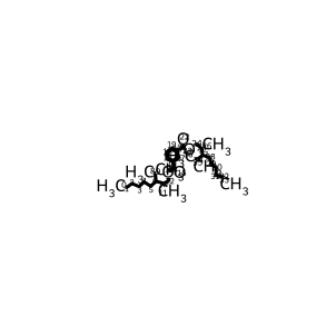 CCCCCCC(C(C)C)C(C)COC(=O)c1cccc(C(=O)OCC(C)C(CCCCCC)C(C)C)c1